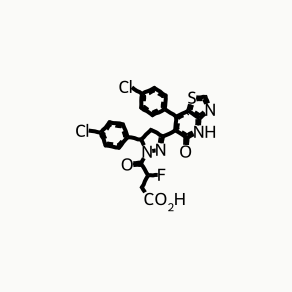 O=C(O)CC(F)C(=O)N1N=C(c2c(-c3ccc(Cl)cc3)c3scnc3[nH]c2=O)CC1c1ccc(Cl)cc1